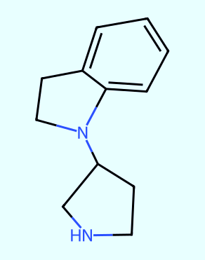 c1ccc2c(c1)CCN2C1CCNC1